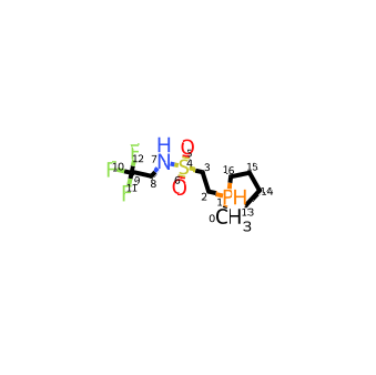 C[PH]1(CCS(=O)(=O)NCC(F)(F)F)CCCC1